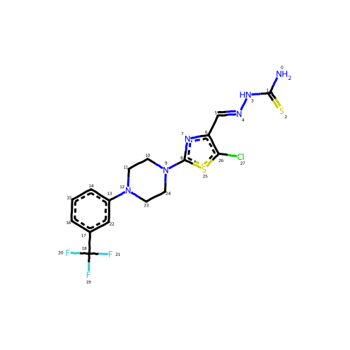 NC(=S)NN=Cc1nc(N2CCN(c3cccc(C(F)(F)F)c3)CC2)sc1Cl